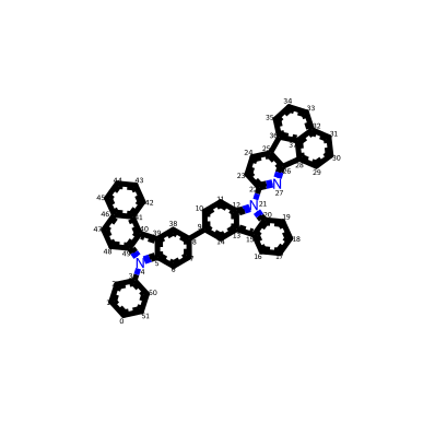 c1ccc(-n2c3ccc(-c4ccc5c(c4)c4ccccc4n5-c4ccc5c(n4)-c4cccc6cccc-5c46)cc3c3c4ccccc4ccc32)cc1